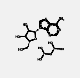 Nc1ncnc2c1ncn2[C@@H]1O[C@H](CO)[C@@H](O)[C@H]1O.OP(O)OP(O)O